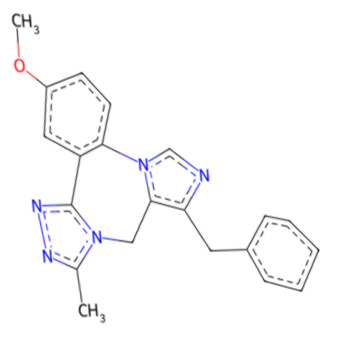 COc1ccc2c(c1)-c1nnc(C)n1Cc1c(Cc3ccccc3)ncn1-2